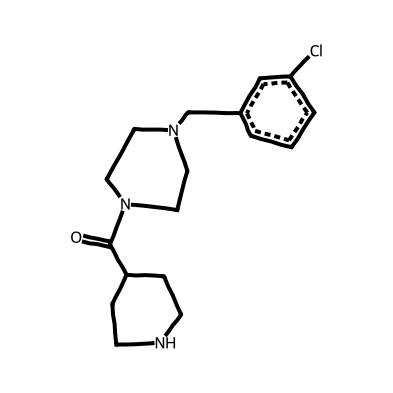 O=C(C1CCNCC1)N1CCN(Cc2cccc(Cl)c2)CC1